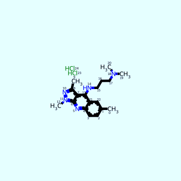 Cc1ccc2nc3c(c(C)nn3C)c(NCCCN(C)C)c2c1.Cl.Cl